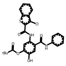 CC(C)(C)C(=O)Oc1cc(NC(=O)c2sc3ccccc3c2Cl)c(C(=O)Nc2ccccc2)cc1O